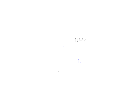 CN(C)c1ccccn1.CNC